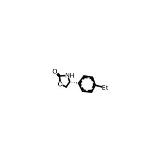 CCc1ccc([C@@H]2COC(=O)N2)cc1